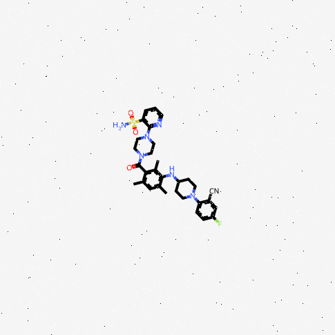 Cc1cc(C)c(C(=O)N2CCN(c3ncccc3S(N)(=O)=O)CC2)c(C)c1NC1CCN(c2ccc(F)cc2C#N)CC1